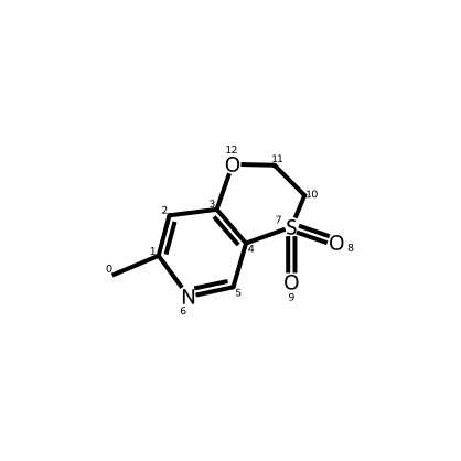 Cc1cc2c(cn1)S(=O)(=O)CCO2